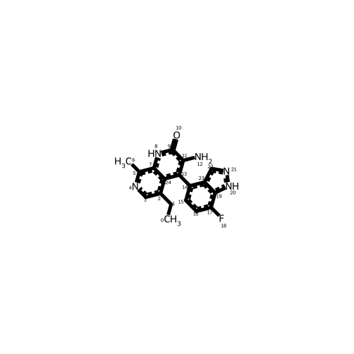 CCc1cnc(C)c2[nH]c(=O)c(N)c(-c3ccc(F)c4[nH]ncc34)c12